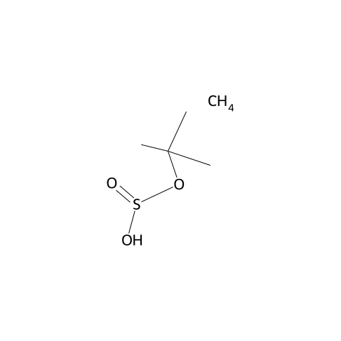 C.CC(C)(C)OS(=O)O